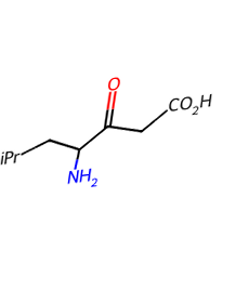 CC(C)CC(N)C(=O)CC(=O)O